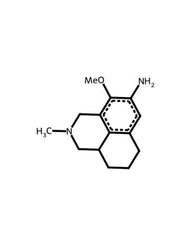 COc1c(N)cc2c3c1CN(C)CC3CCC2